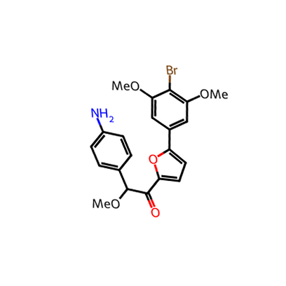 COc1cc(-c2ccc(C(=O)C(OC)c3ccc(N)cc3)o2)cc(OC)c1Br